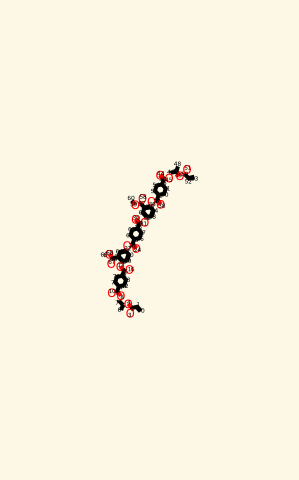 C=CC(=O)OC(C)COC(=O)C1CCC(C(=O)Oc2ccc(OC(=O)C3CCC(C(=O)Oc4ccc(OC(=O)C5CCC(C(=O)OCC(C)OC(=O)C=C)CC5)c(C(=O)OC)c4)CC3)cc2C(=O)OC)CC1